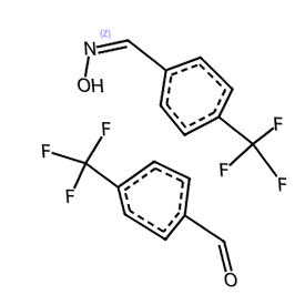 O/N=C\c1ccc(C(F)(F)F)cc1.O=Cc1ccc(C(F)(F)F)cc1